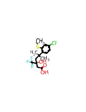 CSc1cc(Cl)ccc1C(C)(C)C[C@@](O)(CC(=O)O)C(F)(F)F